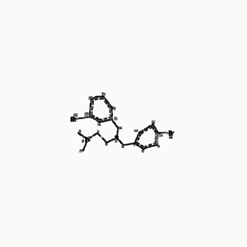 CN(C)CCN(Cc1ccc(Br)cc1)Cc1cccc(Br)c1